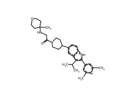 Cc1cc(-c2[nH]c3ccc(C4CCN(C(=O)CNC5(C)CCOCC5)CC4)cc3c2C(C)C)cc(C)n1